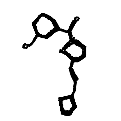 O=C(c1cccc(Cl)c1)n1ccc(/C=C/c2cccs2)n1